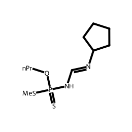 CCCOP(=S)(NC=NC1CCCC1)SC